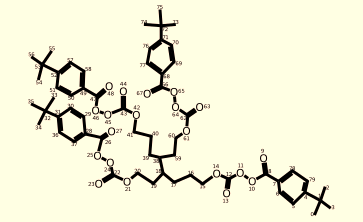 CC(C)(C)c1ccc(C(=O)OOC(=O)OCCCC(CCOC(=O)OOC(=O)c2ccc(C(C)(C)C)cc2)C(CCCOC(=O)OOC(=O)c2ccc(C(C)(C)C)cc2)CCOC(=O)OOC(=O)c2ccc(C(C)(C)C)cc2)cc1